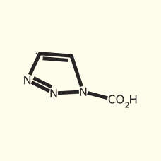 O=C(O)n1c[c]nn1